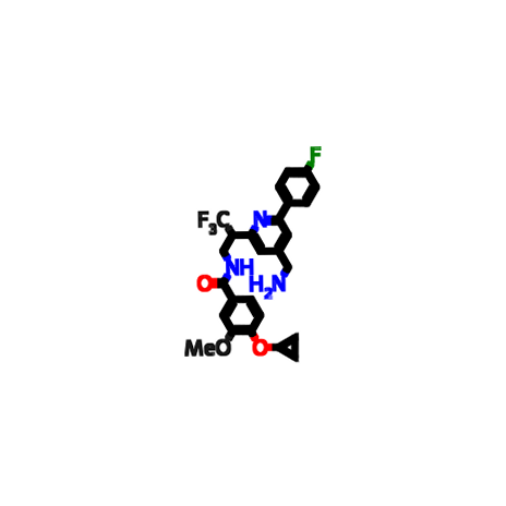 COc1cc(C(=O)NCC(c2cc(CN)cc(-c3ccc(F)cc3)n2)C(F)(F)F)ccc1OC1CC1